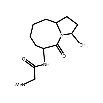 CNCC(=O)NC1CCCCC2CCC(C)N2C1=O